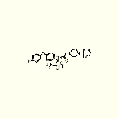 CC(NC(=O)CN1CCN(c2ccccn2)CC1)(C(N)=O)c1ccc(Oc2ccc(F)cc2)cc1